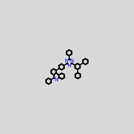 c1ccc(-c2cc(-c3ccccc3)cc(-c3nc(-c4ccccc4)nc(-c4ccc(-c5cccc6c(-c7ccccc7)nc7ccccc7c56)cc4)n3)c2)cc1